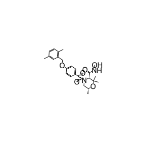 Cc1ccc(C)c(COc2ccc(S(=O)(=O)N3C[C@H](C)OC(C)(C)[C@@H]3C(=O)NO)cc2)c1